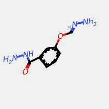 N/N=C/Oc1cccc(C(=O)NN)c1